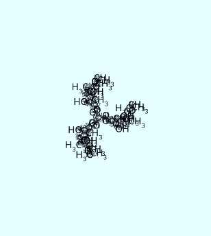 C[C@H](CCC(=O)OC(C)(C)C)C1CCC2C3C(C[C@H](O)[C@@]21C)[C@@]1(C)CC[C@@H](OC(=O)C2CC(C(=O)O[C@@H]4CC[C@@]5(C)C(C4)C[C@@H](O)C4C5C[C@H](O)[C@@]5(C)C4CCC5[C@H](C)CCC(=O)OC(C)(C)C)CC(C(=O)O[C@H]4CC[C@]5(C)C(C4)C[C@H](O)C4C5C[C@@H](O)[C@]5(C)C4CCC5[C@@H](C)CCC(=O)OC(C)(C)C)C2)CC1C[C@H]3O